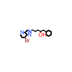 OC(CCCn1cc2nccc(Br)c2n1)Cc1ccccc1